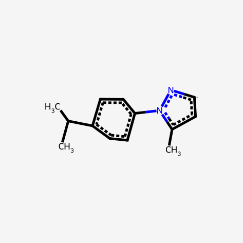 Cc1c[c]nn1-c1ccc(C(C)C)cc1